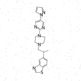 CC(CN1CCN(c2ncc(-n3cccn3)cn2)CC1)c1ccc2scnc2c1